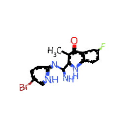 Cc1c(C(=N)/N=c2/ccc(Br)c[nH]2)[nH]c2ccc(F)cc2c1=O